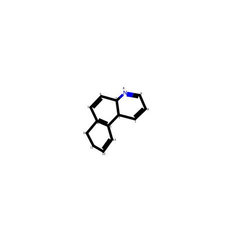 C1=CC2C3=C(C=CC2N=C1)CCC=C3